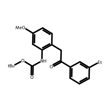 CCc1cccc(C(=O)Cc2ccc(OC)cc2NC(=O)OC(C)(C)C)c1